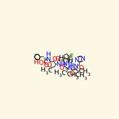 CCCC(NC(=O)[C@@H]1[C@H]2CC[C@H](F)[C@H]2CN1C(=O)[C@@H](NC(=O)[C@H](NC(=O)c1cnccn1)C(C)C)C(C)C)C(=O)C(=O)N[C@@H](Cc1ccccc1)C(=O)O